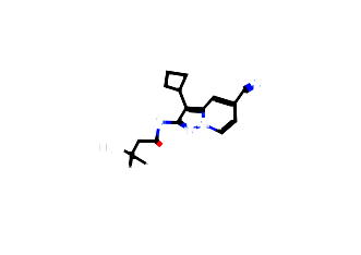 CC(C)(C)CC(=O)Nc1nn2ccc(C#N)cc2c1C1CCC1